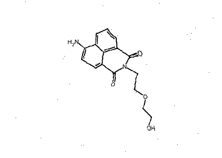 Nc1ccc2c3c(cccc13)C(=O)N(CCOCCO)C2=O